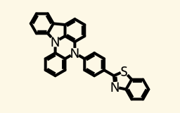 c1ccc2c(c1)N(c1ccc(-c3nc4ccccc4s3)cc1)c1cccc3c4ccccc4n-2c13